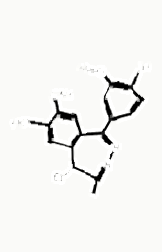 CC[C@H]1C(C)=NN=C(c2ccc(O)c(OC)c2)c2cc(OC)c(O)cc21